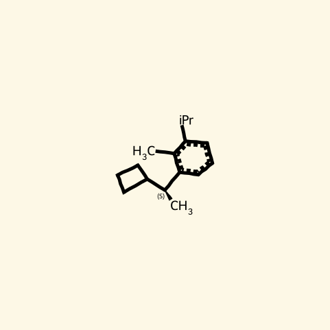 Cc1c(C(C)C)cccc1[C@@H](C)C1CCC1